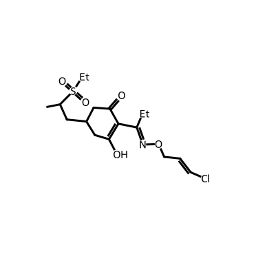 CC/C(=N\OC/C=C/Cl)C1=C(O)CC(CC(C)S(=O)(=O)CC)CC1=O